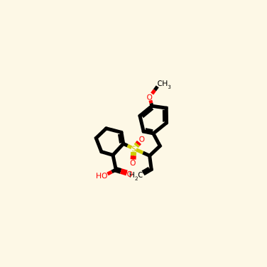 C=CC(Cc1ccc(OC)cc1)S(=O)(=O)C1=CCCCC1C(=O)O